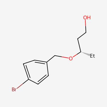 CC[C@@H](CCO)OCc1ccc(Br)cc1